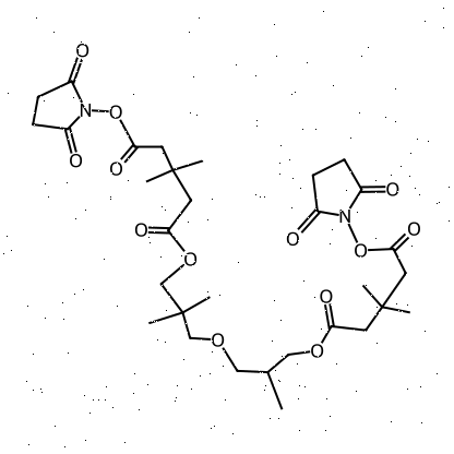 CC(COCC(C)(C)COC(=O)CC(C)(C)CC(=O)ON1C(=O)CCC1=O)COC(=O)CC(C)(C)CC(=O)ON1C(=O)CCC1=O